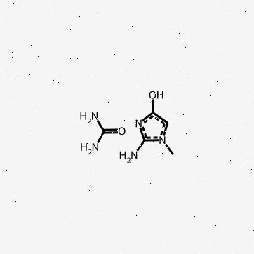 Cn1cc(O)nc1N.NC(N)=O